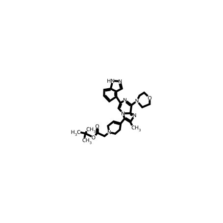 Cc1nc2c(N3CCOCC3)nc(-c3cccc4[nH]ncc34)cn2c1C1=CCN(CC(=O)OC(C)(C)C)CC1